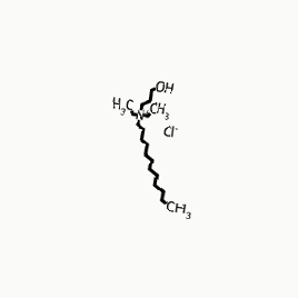 CCCCCCCCCCCC[N+](CC)(CC)CCCO.[Cl-]